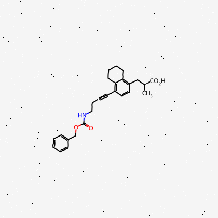 C[C@@H](Cc1ccc(C#CCCNC(=O)OCc2ccccc2)c2c1CCCC2)C(=O)O